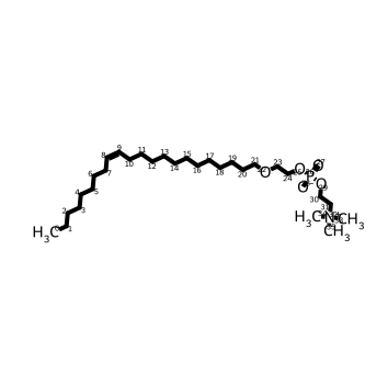 CCCCCCCC/C=C\CCCCCCCCCCCCOCCOP(=O)([O-])OCC[N+](C)(C)C